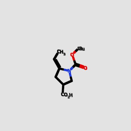 CC=C1CC(C(=O)O)CN1C(=O)OC(C)(C)C